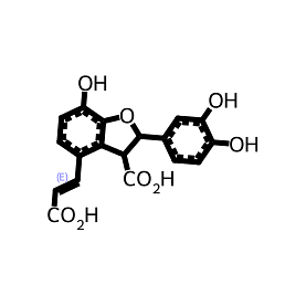 O=C(O)/C=C/c1ccc(O)c2c1C(C(=O)O)C(c1ccc(O)c(O)c1)O2